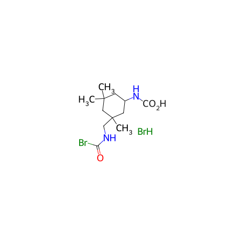 Br.CC1(C)CC(NC(=O)O)CC(C)(CNC(=O)Br)C1